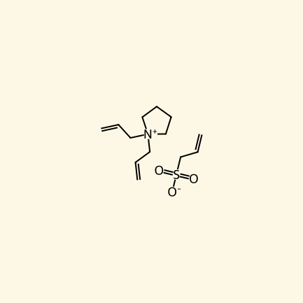 C=CCS(=O)(=O)[O-].C=CC[N+]1(CC=C)CCCC1